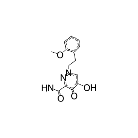 CNC(=O)c1nn(CCc2ccccc2OC)cc(O)c1=O